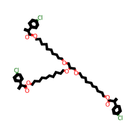 C=C(C(=O)OCCCCCCCCCCOCC(COCCCCCCCCCCOC(=O)C(=C)c1ccc(Cl)cc1)OCCCCCCCCCCOC(=O)C(=C)c1ccc(Cl)cc1)c1ccc(Cl)cc1